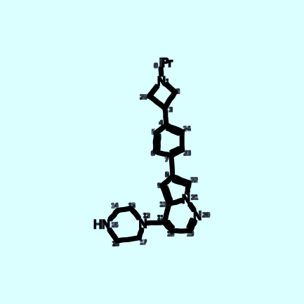 CC(C)N1CC(c2ccc(-c3cc4c(N5CCNCC5)ccnn4c3)cc2)C1